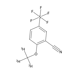 [2H]C([2H])([2H])Oc1ccc(S(F)(F)(F)(F)F)cc1C#N